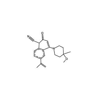 C=C(C)c1ccc2c(c1)C(N1CCC(C)(OC)CC1)=CC(=O)C2C#N